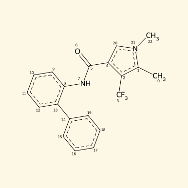 Cc1c(C(F)(F)F)c(C(=O)Nc2ccccc2-c2ccccc2)cn1C